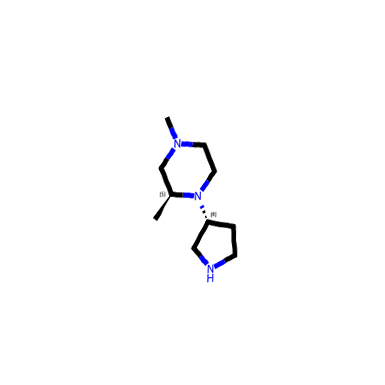 C[C@H]1CN(C)CCN1[C@@H]1CCNC1